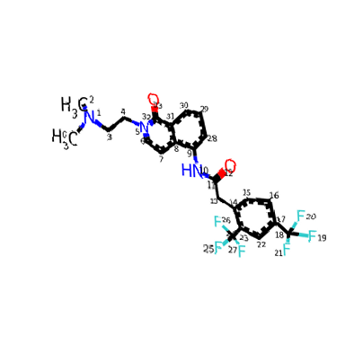 CN(C)CCn1ccc2c(NC(=O)Cc3ccc(C(F)(F)F)cc3C(F)(F)F)cccc2c1=O